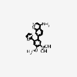 COc1cc(-c2nccs2)c(-c2ccc3c(N)cnnc3c2)cc1B(O)O